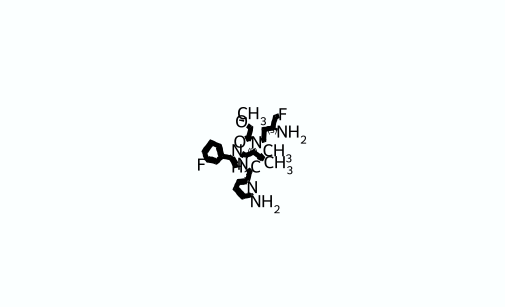 COCC(=O)N(CC[C@H](N)CF)[C@@H](c1nc(-c2cccc(F)c2)cn1Cc1cccc(N)n1)C(C)(C)C